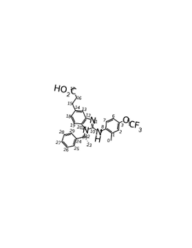 Cc1cc(OC(F)(F)F)ccc1Nc1nc2cc(CCC(=O)O)ccc2n1[C@H](C)c1ccccc1